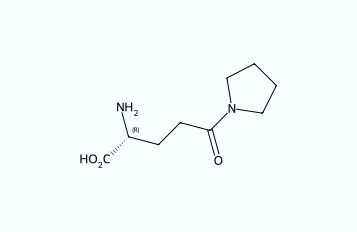 N[C@H](CCC(=O)N1CCCC1)C(=O)O